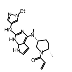 C=CC(=O)N1C[C@H](N(C)C2=C3C=CNC3NC(Nc3cnn(CC)c3)=N2)CC[C@@H]1C